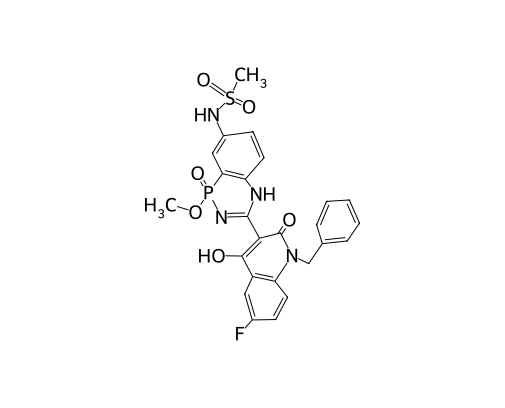 COP1(=O)N=C(c2c(O)c3cc(F)ccc3n(Cc3ccccc3)c2=O)Nc2ccc(NS(C)(=O)=O)cc21